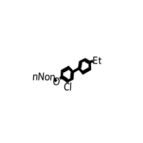 CCCCCCCCCOc1ccc(-c2ccc(CC)cc2)cc1Cl